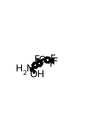 CC(N)(CO)c1ccc2c(F)c(OC3CCC(C(F)(F)F)CC3)ccc2c1